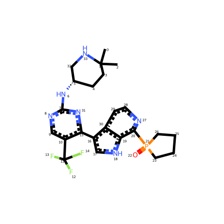 CC1(C)CC[C@H](Nc2ncc(C(F)(F)F)c(-c3c[nH]c4c(P5(=O)CCCC5)nccc34)n2)CN1